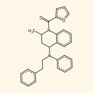 CC1CC(N(CCc2ccccc2)c2ccccc2)c2ccccc2N1C(=O)c1ccco1